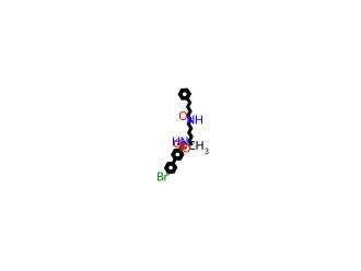 CC(CCCCNC(=O)CCCc1ccccc1)NS(=O)(=O)c1ccc(-c2ccc(Br)cc2)cc1